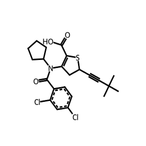 CC(C)(C)C#CC1CC(N(C(=O)c2ccc(Cl)cc2Cl)C2CCCC2)=C(C(=O)O)S1